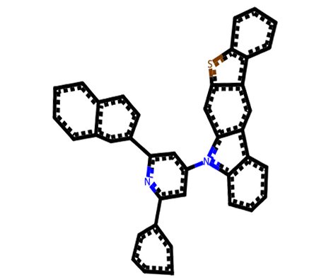 c1ccc(-c2cc(-n3c4ccccc4c4cc5c(cc43)sc3ccccc35)cc(-c3ccc4ccccc4c3)n2)cc1